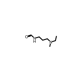 CCN(C)CCCNC=O